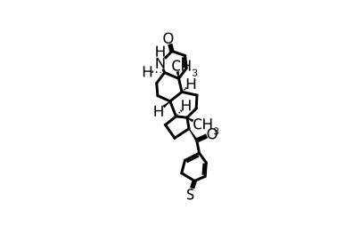 C[C@]12C=CC(=O)N[C@@H]1CC[C@@H]1[C@@H]2CC[C@]2(C)[C@@H](C(=O)C3=CCC(=S)C=C3)CC[C@@H]12